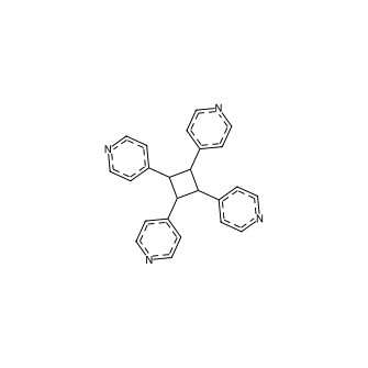 c1cc(C2C(c3ccncc3)C(c3ccncc3)C2c2ccncc2)ccn1